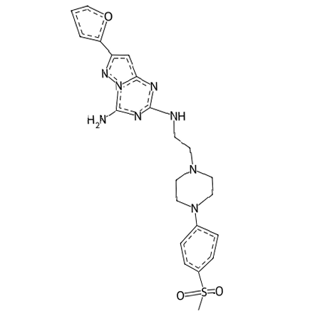 CS(=O)(=O)c1ccc(N2CCN(CCNc3nc(N)n4nc(-c5ccco5)cc4n3)CC2)cc1